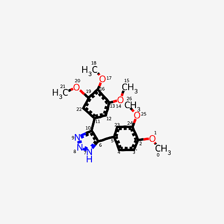 COc1[c]cc(-c2[nH]nnc2-c2cc(OC)c(OC)c(OC)c2)cc1OC